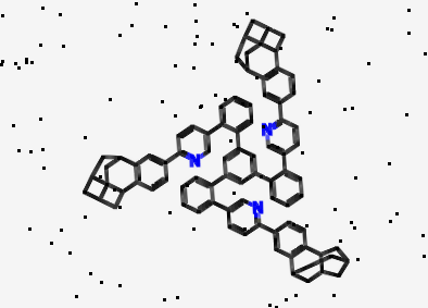 c1ccc(-c2cc(-c3ccccc3-c3ccc(-c4ccc5c(c4)C4CC6CC7CC5C67C4)nc3)cc(-c3ccccc3-c3ccc(-c4ccc5c(c4)C4CC6CC7CC5C67C4)nc3)c2)c(-c2ccc(-c3ccc4c(c3)C3CC5CC(C3)C4C5)nc2)c1